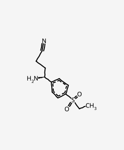 CCS(=O)(=O)c1ccc([C@@H](N)CCC#N)cc1